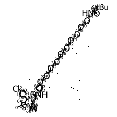 Cc1sc2c(c1C)C(c1ccc(Cl)cc1)=N[C@@H](CC(=O)Nc1ccc(OCCOCCOCCOCCOCCOCCOCCOCCOCCOCCNC(=O)OC(C)(C)C)cc1)c1nnc(C)n1-2